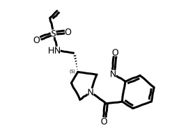 C=CS(=O)(=O)NC[C@H]1CCN(C(=O)c2ccccc2N=O)C1